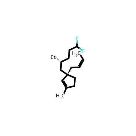 C/C=C\C[C@]1(C[C@H](CC)CCC(F)F)C=C(C)CC1